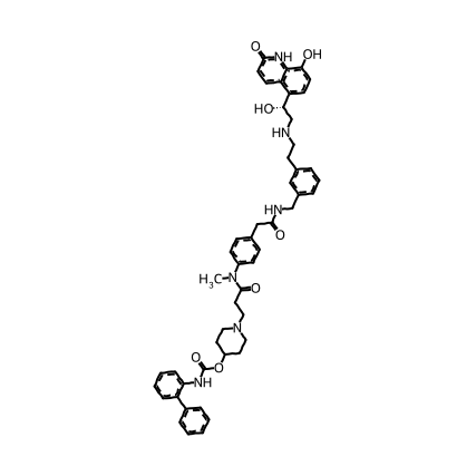 CN(C(=O)CCN1CCC(OC(=O)Nc2ccccc2-c2ccccc2)CC1)c1ccc(CC(=O)NCc2cccc(CCNC[C@H](O)c3ccc(O)c4[nH]c(=O)ccc34)c2)cc1